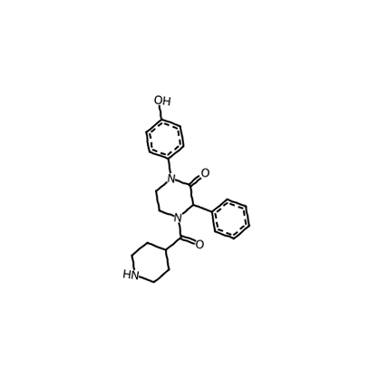 O=C1C(c2ccccc2)N(C(=O)C2CCNCC2)CCN1c1ccc(O)cc1